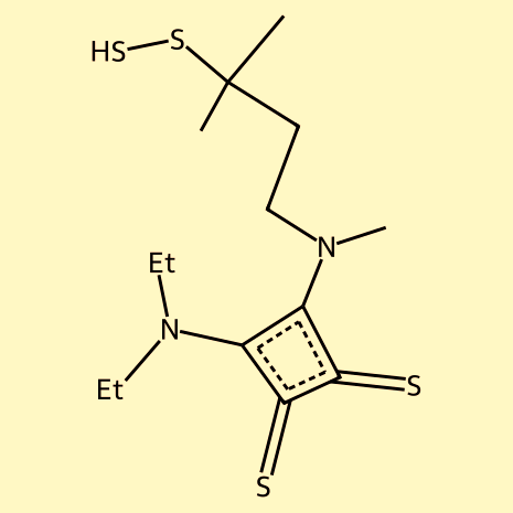 CCN(CC)c1c(N(C)CCC(C)(C)SS)c(=S)c1=S